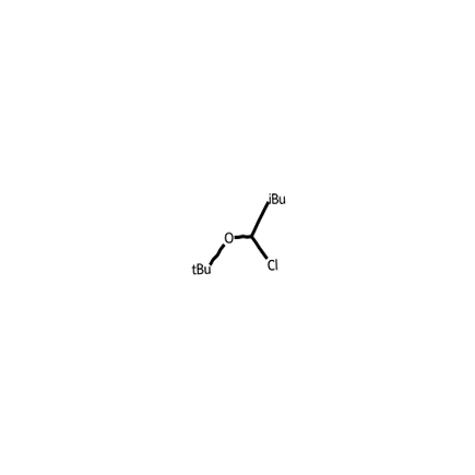 CCC(C)C(Cl)OC(C)(C)C